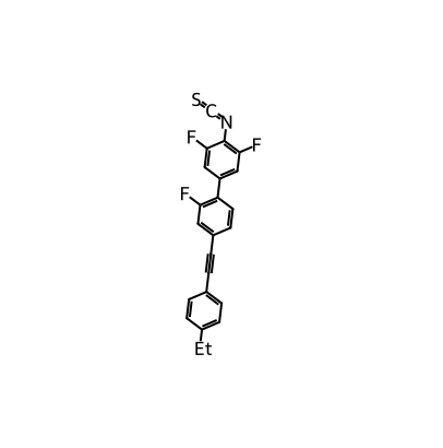 CCc1ccc(C#Cc2ccc(-c3cc(F)c(N=C=S)c(F)c3)c(F)c2)cc1